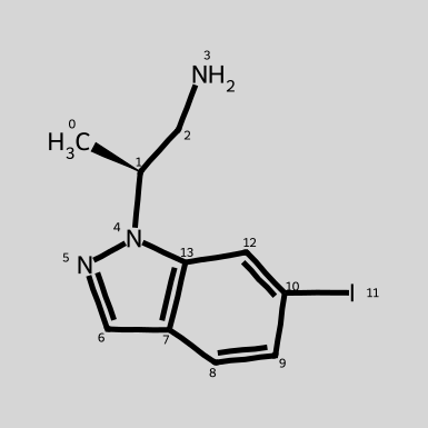 C[C@@H](CN)n1ncc2ccc(I)cc21